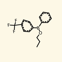 CCCOB(c1ccccc1)c1ccc(C(F)(F)F)cc1